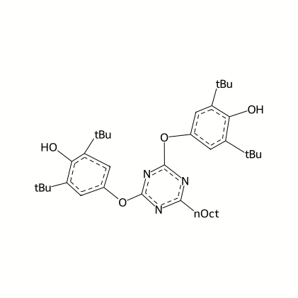 CCCCCCCCc1nc(Oc2cc(C(C)(C)C)c(O)c(C(C)(C)C)c2)nc(Oc2cc(C(C)(C)C)c(O)c(C(C)(C)C)c2)n1